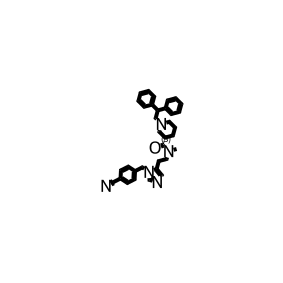 CN(CCc1cncn1Cc1ccc(C#N)cc1)C(=O)[C@H]1CCCN(CC(c2ccccc2)c2ccccc2)C1